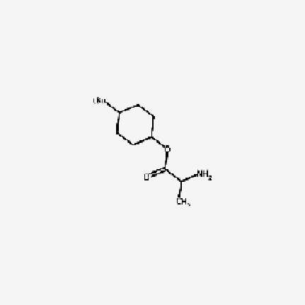 CC(N)C(=O)OC1CCC(C(C)(C)C)CC1